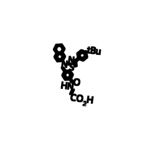 CC(C)(C)c1ccc(-c2csc(N(Cc3ccc(C(=O)NCCC(=O)O)cc3)c3ccc4c(c3)CCCC4)n2)cc1